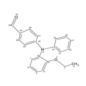 CCOc1ccccc1N(c1ccccc1)c1ccc(C=O)cc1